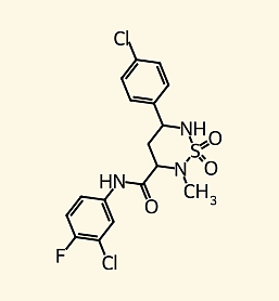 CN1C(C(=O)Nc2ccc(F)c(Cl)c2)CC(c2ccc(Cl)cc2)NS1(=O)=O